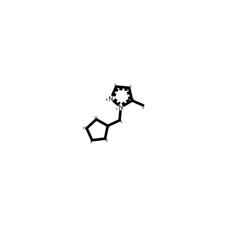 Cc1ccnn1CC1CCCC1